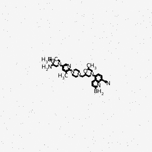 Bc1ccc2c(N3CC(C)OC(CN4CCN(c5ncc(N(CC)CC(N)OC)cc5C)CC4)C3)ccc(C#N)c2n1